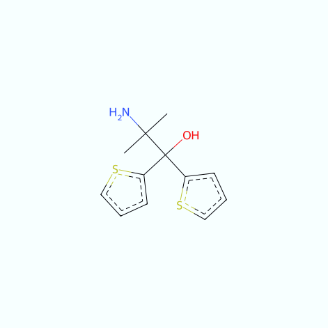 CC(C)(N)C(O)(c1cccs1)c1cccs1